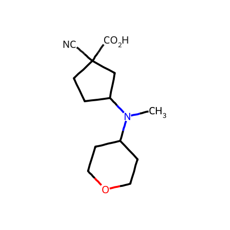 CN(C1CCOCC1)C1CCC(C#N)(C(=O)O)C1